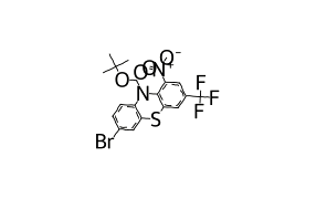 CC(C)(C)OC(=O)N1c2ccc(Br)cc2Sc2cc(C(F)(F)F)cc([N+](=O)[O-])c21